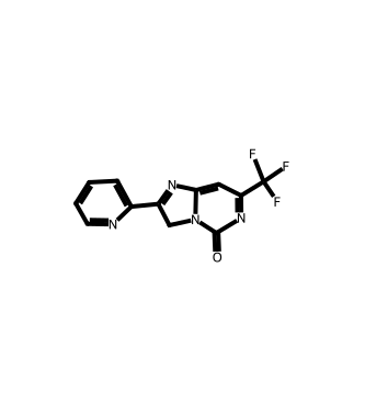 O=c1nc(C(F)(F)F)cc2n1CC(c1ccccn1)=N2